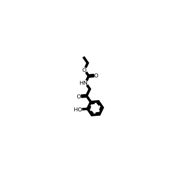 CCOC(=O)NCC(=O)c1ccccc1O